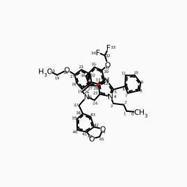 CCCCn1c(-c2ccccc2)nc(-c2ccc(OCC)cc2)c1CN(Cc1ccc(OC(F)F)cc1)Cc1ccc2c(c1)OCO2